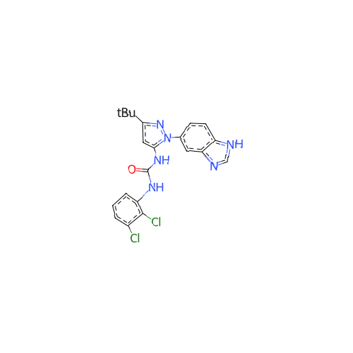 CC(C)(C)c1cc(NC(=O)Nc2cccc(Cl)c2Cl)n(-c2ccc3[nH]cnc3c2)n1